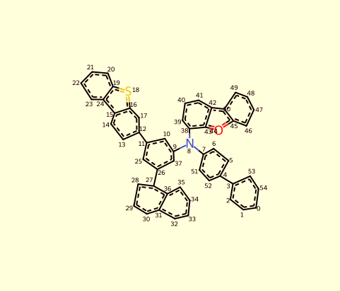 c1ccc(-c2ccc(N(c3cc(-c4ccc5c(c4)sc4ccccc45)cc(-c4cccc5ccccc45)c3)c3cccc4c3oc3ccccc34)cc2)cc1